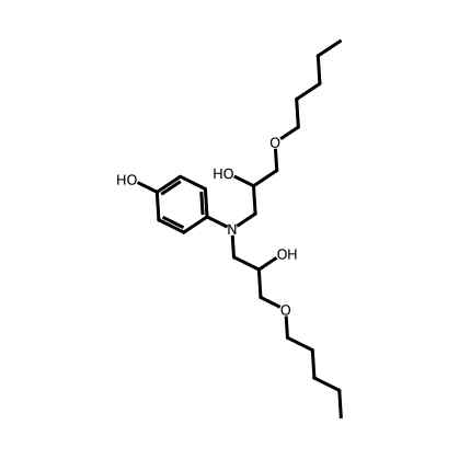 CCCCCOCC(O)CN(CC(O)COCCCCC)c1ccc(O)cc1